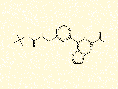 CC(C)(C)OC(=O)NCc1cccc(-c2nc(C(=O)O)nc3ccoc23)c1